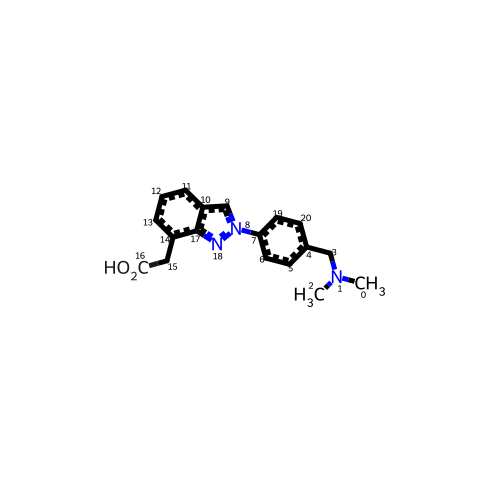 CN(C)Cc1ccc(-n2cc3cccc(CC(=O)O)c3n2)cc1